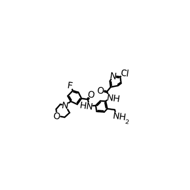 NCc1ccc(NC(=O)c2cc(F)cc(N3CCOCC3)c2)cc1NC(=O)c1ccc(Cl)nc1